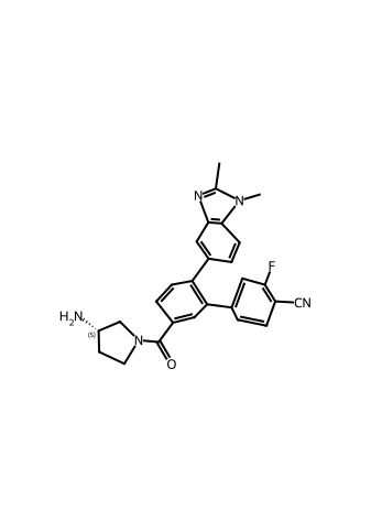 Cc1nc2cc(-c3ccc(C(=O)N4CC[C@H](N)C4)cc3-c3ccc(C#N)c(F)c3)ccc2n1C